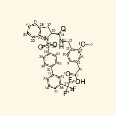 COc1cc(CC(=O)O)ccc1CNC(=O)[C@@H]1Cc2ccccc2N1S(=O)(=O)c1ccc(-c2cccc(C(F)(F)F)c2)cc1